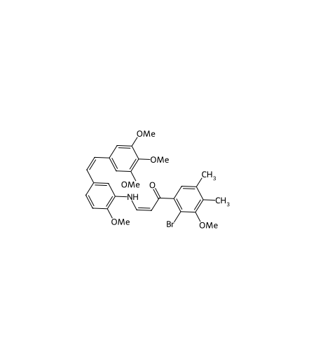 COc1ccc(/C=C\c2cc(OC)c(OC)c(OC)c2)cc1N/C=C\C(=O)c1cc(C)c(C)c(OC)c1Br